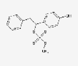 COS(=O)(=O)OC(Cc1ccccc1)c1ccc(O)cc1